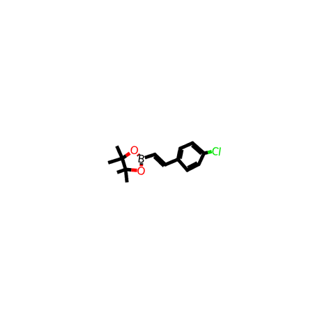 CC1(C)OB(C=Cc2ccc(Cl)cc2)OC1(C)C